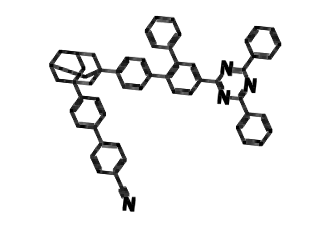 N#Cc1ccc(-c2ccc(C34CC5CC(C3)CC(c3ccc(-c6ccc(-c7nc(-c8ccccc8)nc(-c8ccccc8)n7)cc6-c6ccccc6)cc3)(C5)C4)cc2)cc1